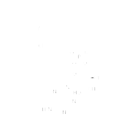 C[C@@]1(O)[C@H](O)C(OP2(=O)OCCC(c3ccc(Cl)c(Cl)c3)O2)O[C@H]1n1cnc2c(N)ncnc21